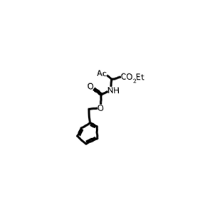 CCOC(=O)C(NC(=O)OCc1ccccc1)C(C)=O